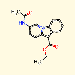 CCOC(=O)c1c2ccccc2n2cc(NC(C)=O)ccc12